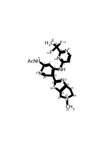 CC(=O)Nc1cc(Nc2ccnc(C(C)(F)F)n2)c(-c2nc3c(s2)CN(C)CC3)cn1